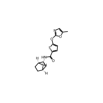 Cc1cnc(Oc2ccc(C(=O)N[C@@H]3C[C@H]4CC[C@@H]3N4)s2)o1